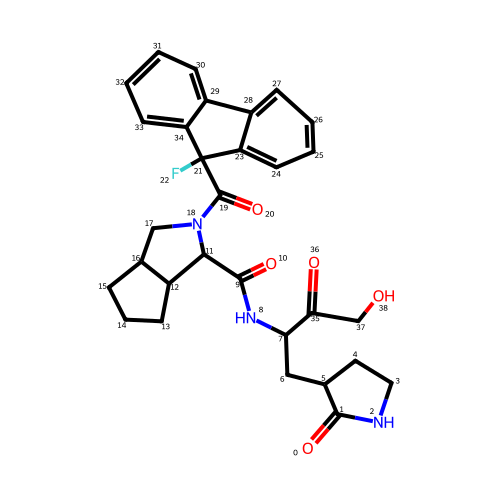 O=C1NCCC1CC(NC(=O)C1C2CCCC2CN1C(=O)C1(F)c2ccccc2-c2ccccc21)C(=O)CO